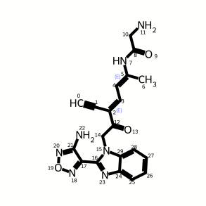 C#C/C(=C\C=C(/C)NC(=O)CN)C(=O)Cn1c(-c2nonc2N)nc2ccccc21